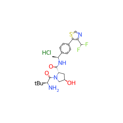 C[C@H](NC(=O)[C@@H]1C[C@@H](O)CN1C(=O)[C@@H](N)C(C)(C)C)c1ccc(-c2scnc2C(F)F)cc1.Cl